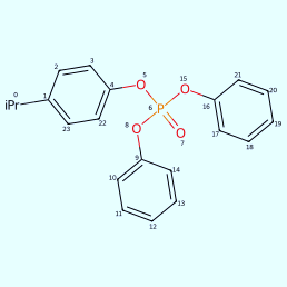 CC(C)c1ccc(OP(=O)(Oc2ccccc2)Oc2ccccc2)cc1